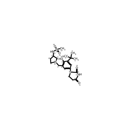 CC(C)(C)c1cc(N2CCC(=O)NC2=O)cc(CN2CCC(NS(C)(=O)=O)C2)c1O